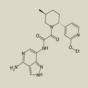 CCOc1cc([C@H]2CC[C@H](C)CN2C(=O)C(=O)Nc2cnc(N)c3c[nH]nc23)ccn1